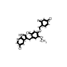 COc1cc(Cc2c[nH]c3ncc(Cl)cc23)c(Cl)cc1OCc1ccc(Cl)cc1F